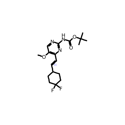 COc1cnc(NC(=O)OC(C)(C)C)nc1/C=C/C1CCC(F)(F)CC1